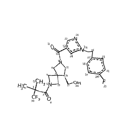 CC(C)(C(=O)N1CC2(CN(C(=O)c3cnn(Cc4ccc(F)cc4)c3)C[C@H]2CO)C1)C(F)(F)F